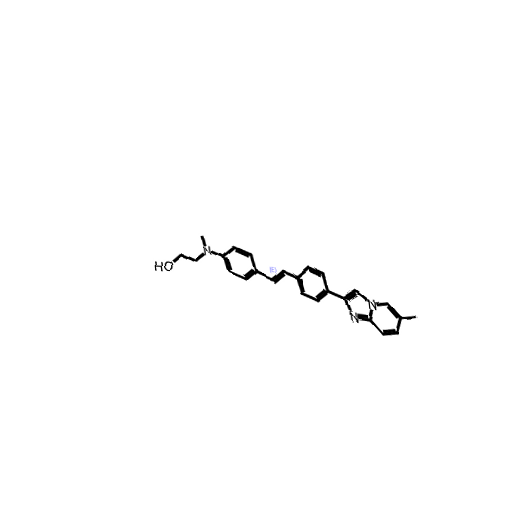 Cc1ccc2nc(-c3ccc(/C=C/c4ccc(N(C)CCO)cc4)cc3)cn2c1